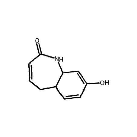 O=C1C=CCC2C=CC(O)=CC2N1